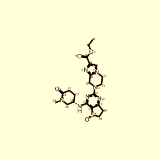 CCOC(=O)c1cn2c(n1)CN(c1nc3c(c(N[C@H]4CCC(=O)N(C)C4)n1)[S+]([O-])CC3)CC2